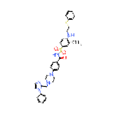 Cc1cc(S(=O)(=O)NC(=O)c2ccc(N3CCN(Cc4nccn4-c4ccccc4)CC3)cc2)ccc1NCCSC1=CCCC=C1